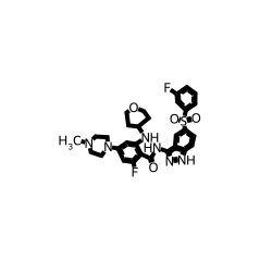 CN1CCN(c2cc(F)c(C(=O)Nc3n[nH]c4ccc(S(=O)(=O)c5cccc(F)c5)cc34)c(NC3CCOCC3)c2)CC1